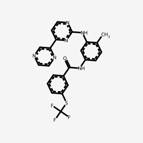 Cc1ccc(NC(=O)c2cccc(SC(F)(F)F)c2)cc1Nc1nccc(-c2cnccn2)n1